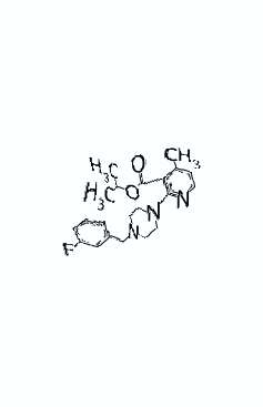 Cc1ccnc(N2CCN(Cc3cccc(F)c3)CC2)c1C(=O)OC(C)C